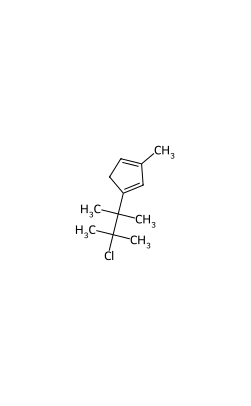 CC1=CCC(C(C)(C)C(C)(C)Cl)=C1